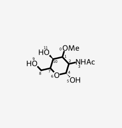 COC1C(NC(C)=O)[C@H](O)OC(CO)[C@H]1O